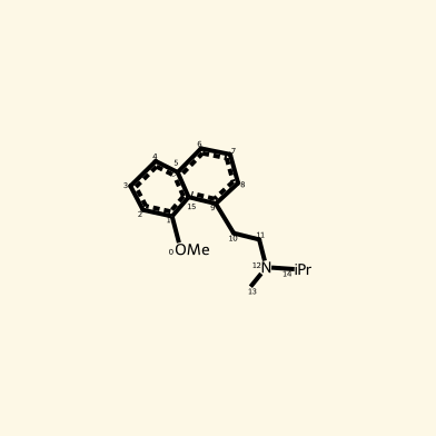 COc1cccc2cccc(CCN(C)C(C)C)c12